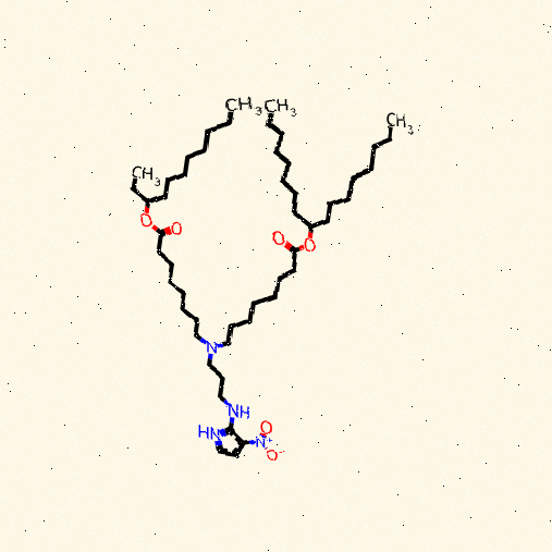 CCCCCCCCC(CC)OC(=O)CCCCCCCN(CCCCCCCC(=O)OC(CCCCCCCC)CCCCCCCC)CCCNc1[nH]ccc1[N+](=O)[O-]